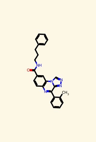 Cc1ccccc1-c1nc2ccc(C(=O)NCCCc3ccccc3)cc2n2cnnc12